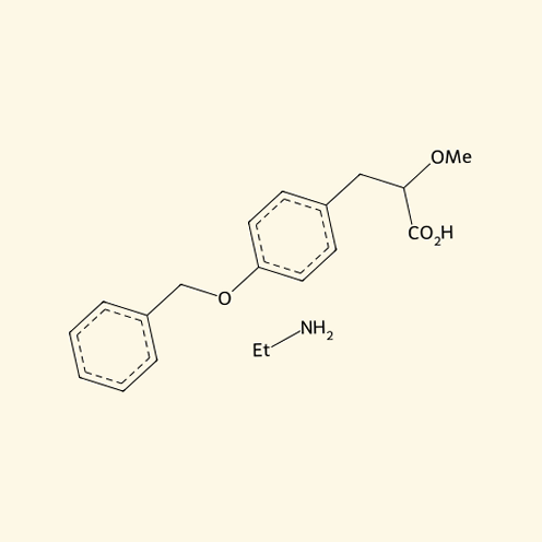 CCN.COC(Cc1ccc(OCc2ccccc2)cc1)C(=O)O